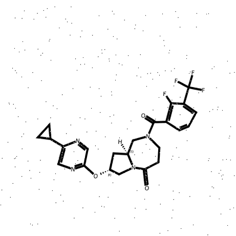 O=C(c1cccc(C(F)(F)F)c1F)N1CCC(=O)N2C[C@H](Oc3cnc(C4CC4)cn3)C[C@H]2C1